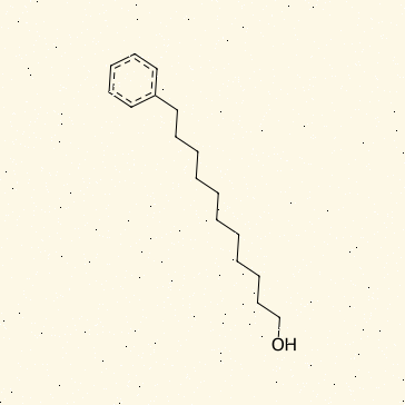 OCCCCCCCCCCCc1ccccc1